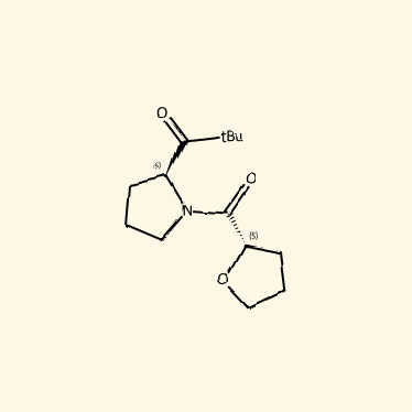 CC(C)(C)C(=O)[C@@H]1CCCN1C(=O)[C@@H]1CCCO1